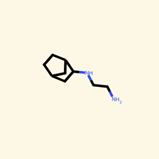 NCCNC1CC2CCC1C2